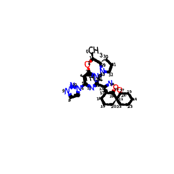 C[C@H](Oc1cc(-n2ccnn2)nc(-c2noc3c2CCC[C@@]32CCCCC2=O)n1)[C@@H]1CCCN1C